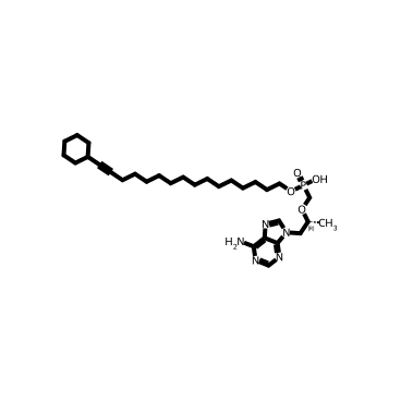 C[C@H](Cn1cnc2c(N)ncnc21)OCP(=O)(O)OCCCCCCCCCCCCCCC#CC1CCCCC1